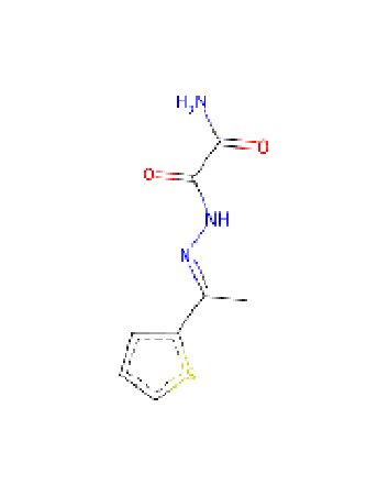 CC(=NNC(=O)C(N)=O)c1cccs1